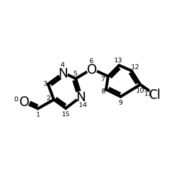 O=Cc1cnc(Oc2ccc(Cl)cc2)nc1